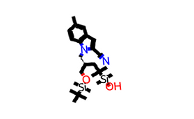 Cc1ccc2c(c1)cc(C#N)n2C[C@@H](CO[Si](C)(C)C(C)(C)C)CC(C)(C)[Si](C)(C)O